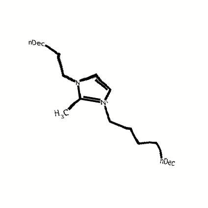 CCCCCCCCCCCCCC[n+]1ccn(CCCCCCCCCCCC)c1C